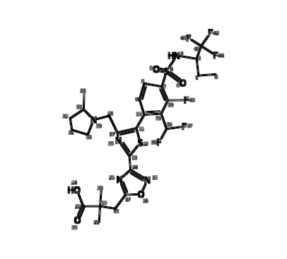 CCC(NS(=O)(=O)c1ccc(-c2sc(-c3noc(CC(C)(C)C(=O)O)n3)nc2CN2CCCC2C)c(C(F)F)c1F)C(F)(F)F